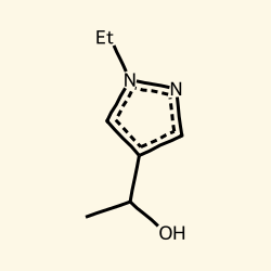 CCn1cc(C(C)O)cn1